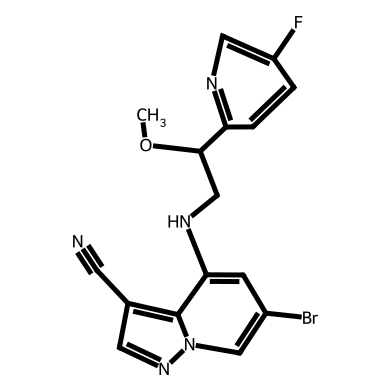 COC(CNc1cc(Br)cn2ncc(C#N)c12)c1ccc(F)cn1